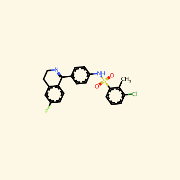 Cc1c(Cl)cccc1S(=O)(=O)Nc1ccc(C2=NCCc3cc(F)ccc32)cc1